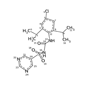 CC(C)c1cc(Cl)cc(C(C)C)c1NC(=O)NS(=O)(=O)c1cncnc1